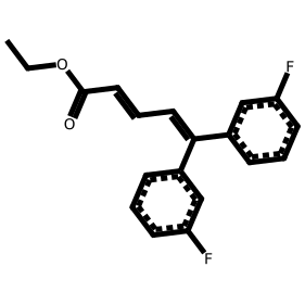 CCOC(=O)C=CC=C(c1cccc(F)c1)c1cccc(F)c1